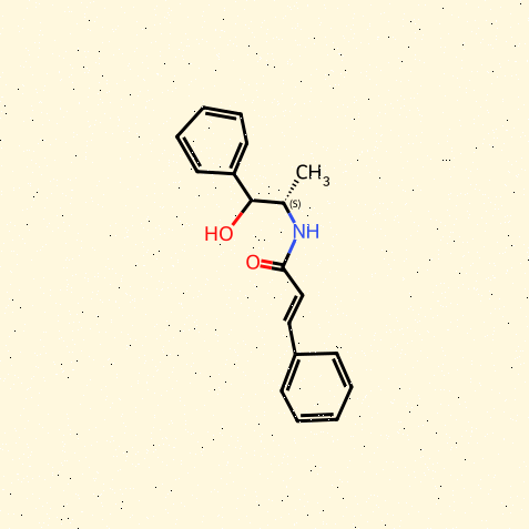 C[C@H](NC(=O)C=Cc1ccccc1)C(O)c1ccccc1